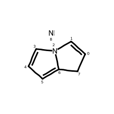 C1=Cn2cccc2C1.[N]